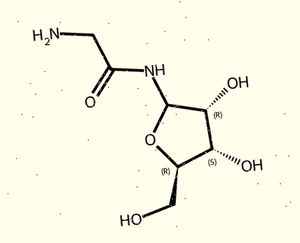 NCC(=O)NC1O[C@H](CO)[C@@H](O)[C@H]1O